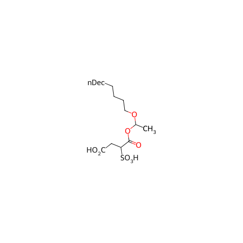 CCCCCCCCCCCCCCOC(C)OC(=O)C(CC(=O)O)S(=O)(=O)O